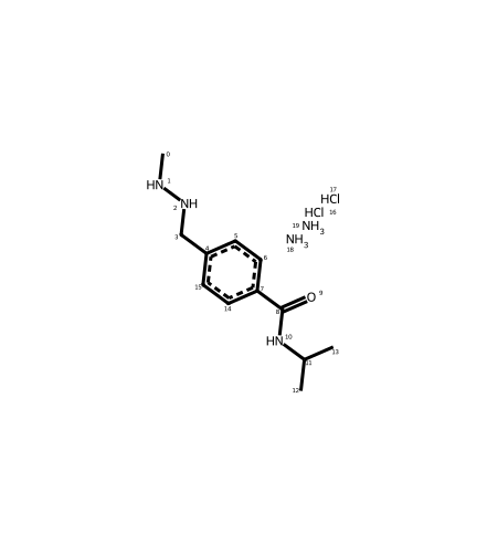 CNNCc1ccc(C(=O)NC(C)C)cc1.Cl.Cl.N.N